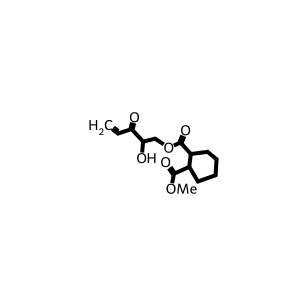 C=CC(=O)C(O)COC(=O)C1CCCCC1C(=O)OC